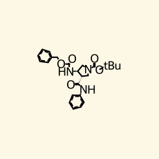 CC(C)(C)OC(=O)N1C[C@H](NC(=O)OCc2ccccc2)[C@@H](C(=O)Nc2ccccc2)C1